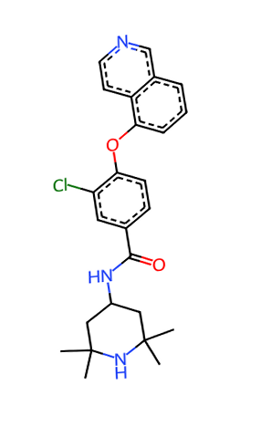 CC1(C)CC(NC(=O)c2ccc(Oc3cccc4cnccc34)c(Cl)c2)CC(C)(C)N1